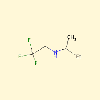 CCC(C)NCC(F)(F)F